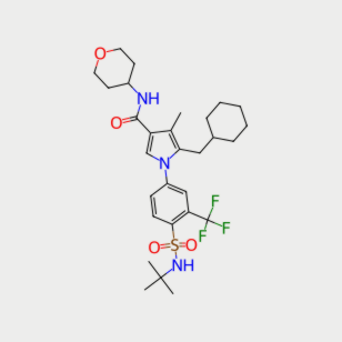 Cc1c(C(=O)NC2CCOCC2)cn(-c2ccc(S(=O)(=O)NC(C)(C)C)c(C(F)(F)F)c2)c1CC1CCCCC1